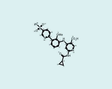 COc1c(Nc2cc(NC(=O)C3CC3)ncc2C(=O)O)cccc1-c1ccc(S(=O)(=O)C(C)C)cn1